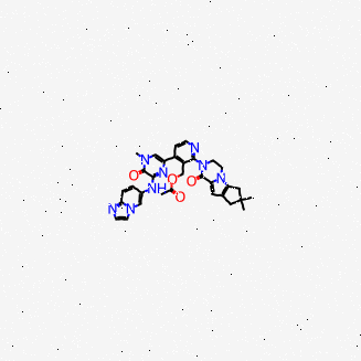 CC(=O)OCc1c(-c2cn(C)c(=O)c(Nc3ccc4nccn4c3)n2)ccnc1N1CCn2c(cc3c2CC(C)(C)C3)C1=O